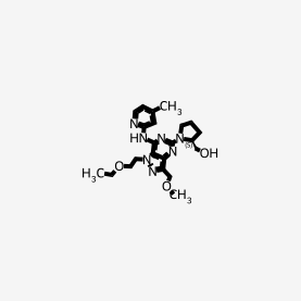 CCOCCn1nc(COC)c2nc(N3CCC[C@H]3CO)nc(Nc3cc(C)ccn3)c21